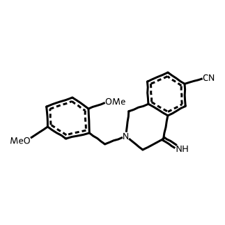 COc1ccc(OC)c(CN2CC(=N)c3cc(C#N)ccc3C2)c1